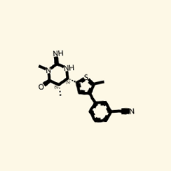 Cc1sc([C@H]2NC(=N)N(C)C(=O)[C@H]2C)cc1-c1cccc(C#N)c1